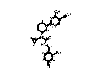 N#Cc1cnc(N2CCC[C@@H](N(C(=O)NCc3ccc(Cl)cc3F)C3CC3)C2)nc1O